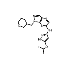 FC(F)Oc1cc(Nc2cnc3cnn(CC4CCCOC4)c3n2)n[nH]1